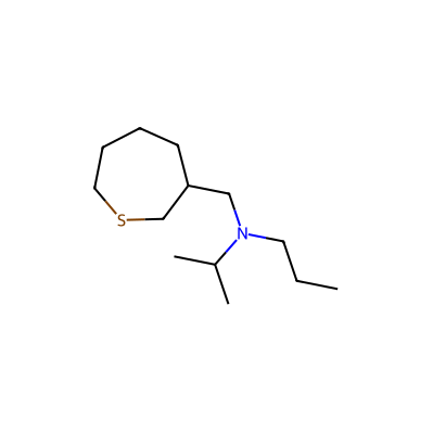 CCCN(CC1CCCCSC1)C(C)C